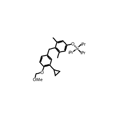 COCOc1ccc(Cc2c(C)cc(O[Si](C(C)C)(C(C)C)C(C)C)cc2C)cc1C1CC1